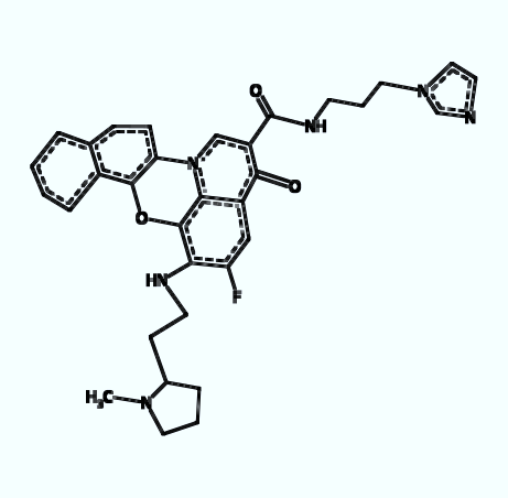 CN1CCCC1CCNc1c(F)cc2c(=O)c(C(=O)NCCCn3ccnc3)cn3c2c1Oc1c-3ccc2ccccc12